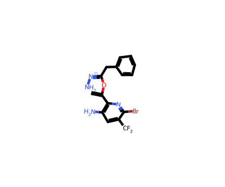 C=C(O/C(Cc1ccccc1)=N\N)c1nc(Br)c(C(F)(F)F)cc1N